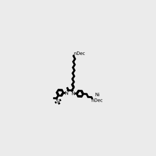 CCCCCCCCCCCCCCCCCCCC/C=C/C(=N\c1ccc(CCCCCCCCCCCCC)cc1)C(/C)=N/c1cccc(C(C)[Si](C)(C)C)c1.[Ni]